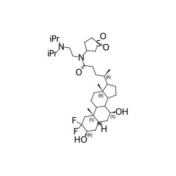 CC(C)N(CCN(C(=O)CC[C@@H](C)C1CCC2C3C(CC[C@@]21C)[C@@]1(C)CC(F)(F)[C@H](O)C[C@H]1C[C@@H]3O)C1CCS(=O)(=O)C1)C(C)C